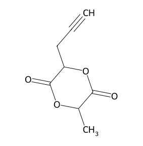 C#CCC1OC(=O)C(C)OC1=O